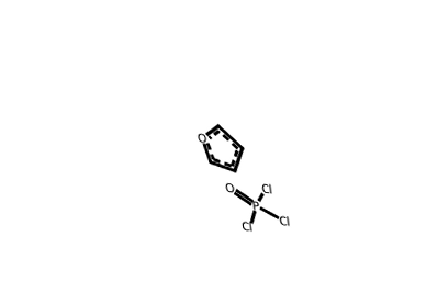 O=P(Cl)(Cl)Cl.c1ccoc1